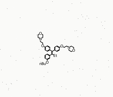 CCCCOc1cccc(C(CC)=C(c2ccc(OCCN3CCOCC3)cc2)c2ccc(OCCN3CCOCC3)cc2)c1